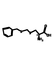 N[C@@H](CSCSCc1ccccc1)C(=O)O